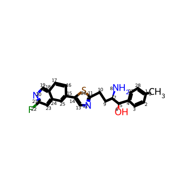 Cc1ccc([C@@H](O)[C@H](N)CCc2ncc(-c3ccc4cnc(F)cc4c3)s2)cc1